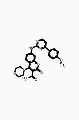 COc1ccc(-c2ccnc(Nc3ccc4c(N5CCOCC5)c(C(C)=O)c(=O)oc4c3)n2)cc1